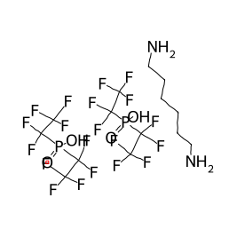 NCCCCCCN.O=P(O)(C(F)(F)C(F)(F)F)C(F)(F)C(F)(F)F.O=P(O)(C(F)(F)C(F)(F)F)C(F)(F)C(F)(F)F